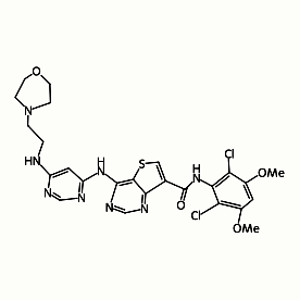 COc1cc(OC)c(Cl)c(NC(=O)c2csc3c(Nc4cc(NCCN5CCOCC5)ncn4)ncnc23)c1Cl